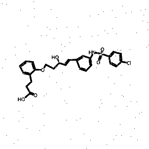 O=C(O)CCc1ccccc1OCC[C@@H](O)/C=C/c1cccc(NS(=O)(=O)c2ccc(Cl)cc2)c1